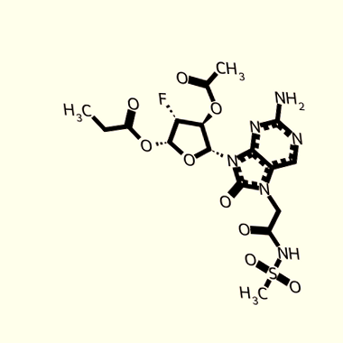 CCC(=O)O[C@H]1O[C@@H](n2c(=O)n(CC(=O)NS(C)(=O)=O)c3cnc(N)nc32)[C@H](OC(C)=O)[C@H]1F